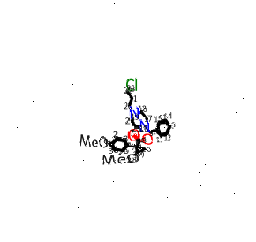 COc1ccc([C@@]2(C(=O)OC(c3ccccc3)N3CCN(CCCCl)CC3)C[C@@H]2OC)cc1